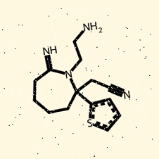 N#CCC1(c2cccs2)CCCCC(=N)N1CCN